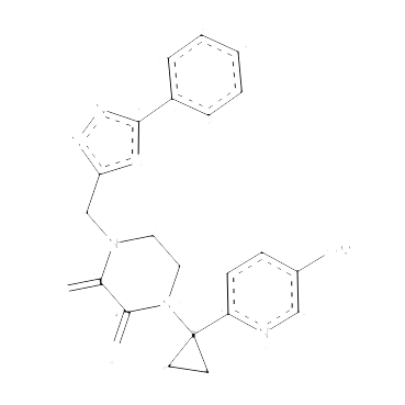 COc1ccc(C2(N3CCN(Cc4nnc(-c5ccccc5)s4)C(=O)C3=O)CC2)nc1